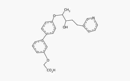 CC(Oc1ccc(-c2cccc(OCC(=O)O)c2)cc1)C(O)CCc1cccnc1